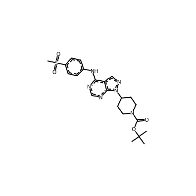 CC(C)(C)OC(=O)N1CCC(n2ncc3c(Nc4ccc(S(C)(=O)=O)cc4)ncnc32)CC1